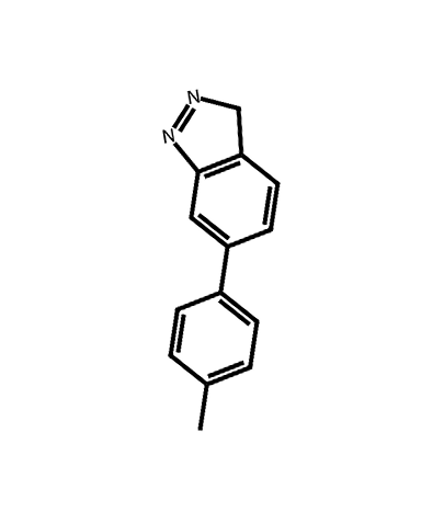 Cc1ccc(-c2ccc3c(c2)N=NC3)cc1